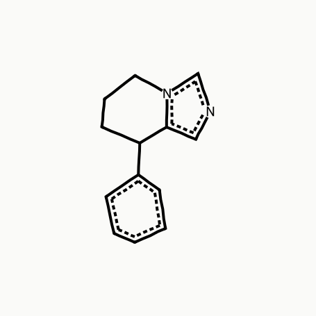 c1ccc(C2CCCn3cncc32)cc1